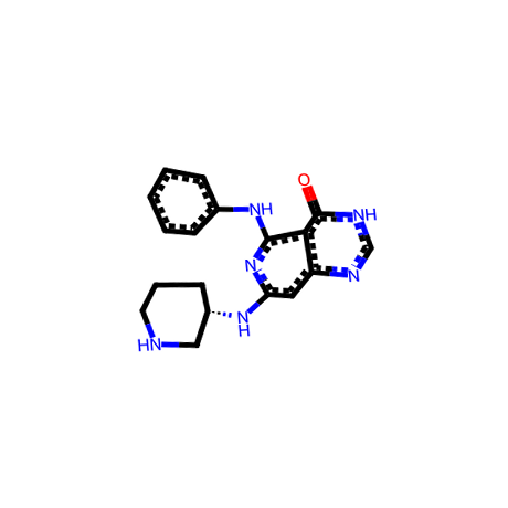 O=c1[nH]cnc2cc(N[C@H]3CCCNC3)nc(Nc3ccccc3)c12